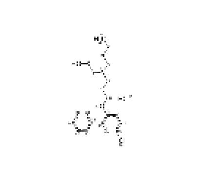 CCCCN(CCO)CCCOc1ccc(Cl)cc1-c1ccccc1.Cl